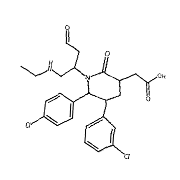 CCNCC(CC=O)N1C(=O)C(CC(=O)O)CC(c2cccc(Cl)c2)C1c1ccc(Cl)cc1